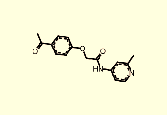 CC(=O)c1ccc(OCC(=O)Nc2ccnc(C)c2)cc1